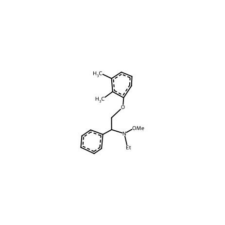 CCN(OC)C(COc1cccc(C)c1C)c1ccccc1